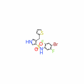 O=S(=O)(Nc1cc(F)c(Br)cc1F)c1c[nH]cc1Cc1cccs1